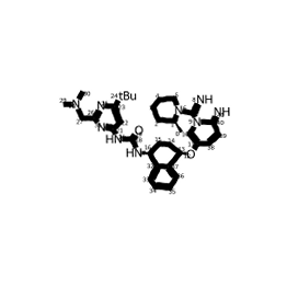 C[C@H]1CCCCN1C(=N)n1cc(O[C@@H]2CC[C@H](NC(=O)Nc3cc(C(C)(C)C)nc(CN(C)C)n3)c3ccccc32)ccc1=N